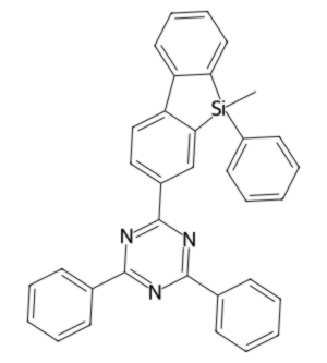 C[Si]1(c2ccccc2)c2ccccc2-c2ccc(-c3nc(-c4ccccc4)nc(-c4ccccc4)n3)cc21